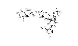 CCc1cc(C)nn1-c1cccc(C(CC(=O)OC(C)(C)C)CN2CCC(CCc3ccc4c(n3)NCCC4)C2)c1